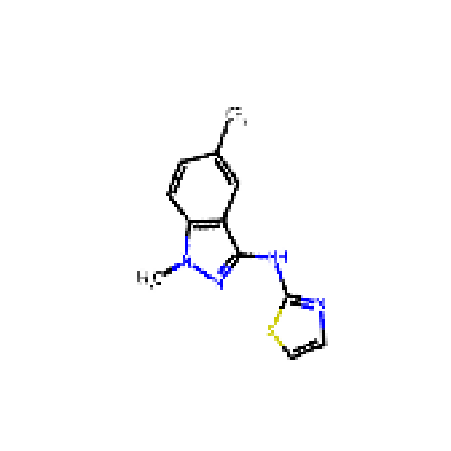 Cn1nc(Nc2nccs2)c2cc(C(F)(F)F)ccc21